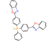 S=P(c1ccccc1)(c1ccc(-c2nc3ccccc3o2)cc1)c1ccc(-c2nc3ccccc3o2)cc1